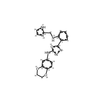 c1ccc(-c2nnc(Nc3ccc4c(c3)OCCO4)o2)c(NCc2ncc[nH]2)c1